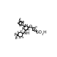 Cc1ccn(-c2nc(NC3CCC(F)(F)CC3)cc(OC3CN(C(=O)O)C3)n2)n1